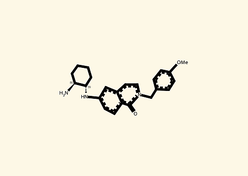 COc1ccc(Cn2ccc3cc(N[C@H]4CCCC[C@@H]4N)ccc3c2=O)cc1